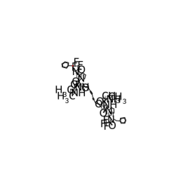 CN[C@@H](C)C(=O)N[C@@H](COCC#CC#CCOC[C@H](NC(=O)[C@H](C)NC)C(=O)N1CCC[C@H]1CN(CCc1ccccc1)C(=O)C(F)(F)F)C(=O)N1CCC[C@H]1CN(CCc1ccccc1)C(=O)C(F)(F)F